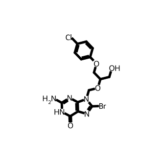 Nc1nc2c(nc(Br)n2COC(CO)COc2ccc(Cl)cc2)c(=O)[nH]1